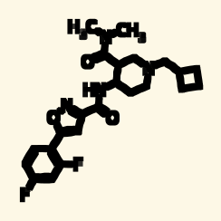 CN(C)C(=O)C1CN(CC2CCC2)CCC1NC(=O)c1cc(-c2ccc(F)cc2F)on1